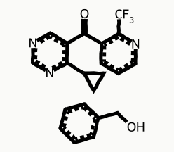 O=C(c1cncnc1C1CC1)c1cccnc1C(F)(F)F.OCc1ccccc1